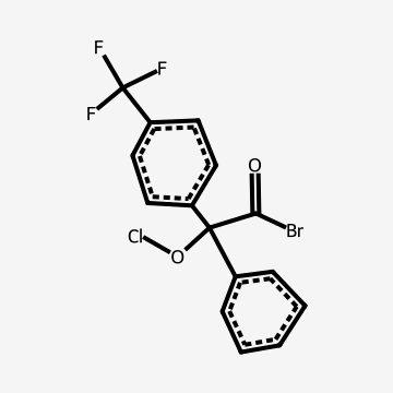 O=C(Br)C(OCl)(c1ccccc1)c1ccc(C(F)(F)F)cc1